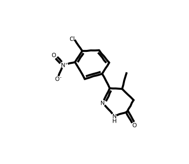 CC1CC(=O)NN=C1c1ccc(Cl)c([N+](=O)[O-])c1